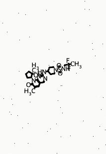 Cc1cc2cnc(NC3CCN(S(=O)(=O)NCC(C)(F)F)CC3)nc2n([C@@H]2CCC[C@@]2(C)O)c1=O